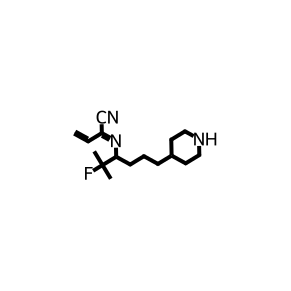 C=C/C(C#N)=N\C(CCCC1CCNCC1)C(C)(C)F